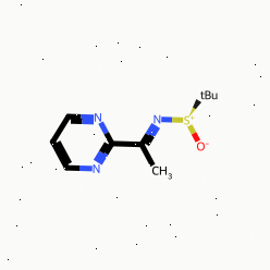 CC(=N[S@+]([O-])C(C)(C)C)c1ncccn1